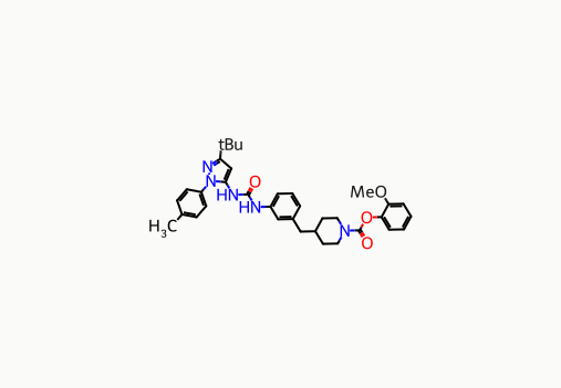 COc1ccccc1OC(=O)N1CCC(Cc2cccc(NC(=O)Nc3cc(C(C)(C)C)nn3-c3ccc(C)cc3)c2)CC1